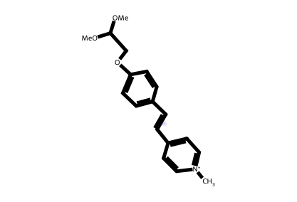 COC(COc1ccc(/C=C/c2cc[n+](C)cc2)cc1)OC